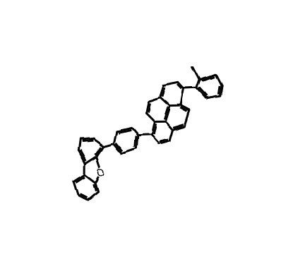 Cc1ccccc1-c1ccc2ccc3c(-c4ccc(-c5cccc6c5oc5ccccc56)cc4)ccc4ccc1c2c43